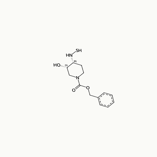 O=C(OCc1ccccc1)N1CC[C@@H](NS)[C@@H](O)C1